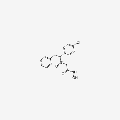 O=C(C[S+]([O-])C(Cc1ccccc1)c1ccc(Cl)cc1)NO